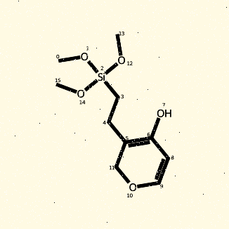 CO[Si](CCC1=C(O)C=COC1)(OC)OC